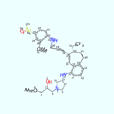 COCC(O)CN1CCC(Nc2cccc3c2C=C(C#CCNc2ccc([S+](C)[O-])cc2OC)C(CC(F)(F)F)CC3)C1